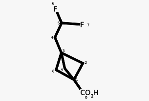 O=C(O)C12CC(CC(F)F)(C1)C2